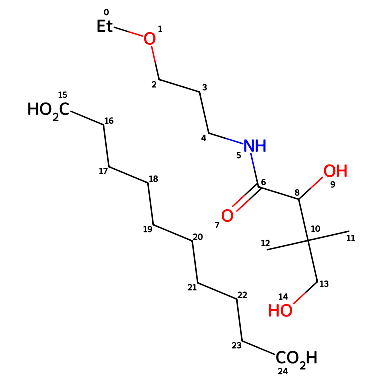 CCOCCCNC(=O)C(O)C(C)(C)CO.O=C(O)CCCCCCCCC(=O)O